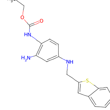 CCOC(=O)Nc1ccc(NCc2cc3ccccc3s2)cc1N